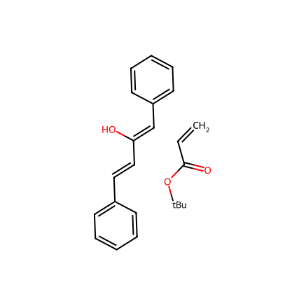 C=CC(=O)OC(C)(C)C.OC(C=Cc1ccccc1)=Cc1ccccc1